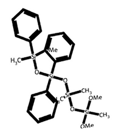 CO[Si](C)(OC)O[Si](C)(C)O[Si](O[Si](C)(OC)c1ccccc1)(c1ccccc1)c1ccccc1